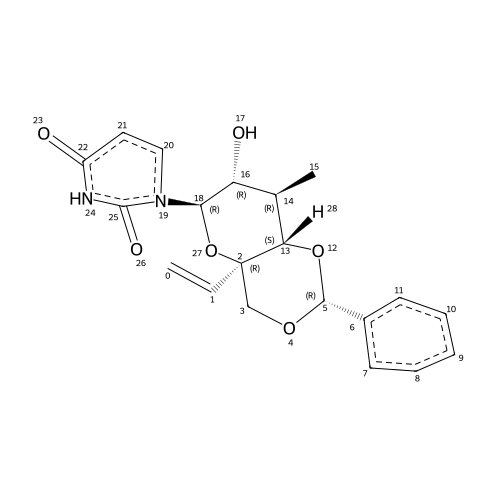 C=C[C@@]12CO[C@@H](c3ccccc3)O[C@H]1[C@H](C)[C@@H](O)[C@H](n1ccc(=O)[nH]c1=O)O2